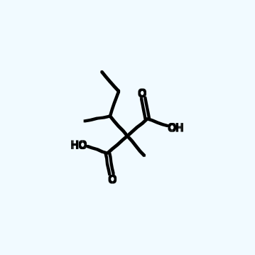 CCC(C)C(C)(C(=O)O)C(=O)O